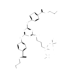 CCCOC(=O)c1ccc(Nc2nc(NCCC[Si](C)(O[Si](C)(C)C)O[Si](C)(C)C)nc(Nc3ccc(C(=O)OCCC)cc3)n2)cc1